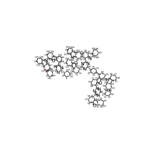 c1ccc(-c2nc(-c3cccc(-c4ccc(-c5nc(-c6ccc(-c7ccc(-n8c9ccccc9c9ccccc98)c8oc9c(-c%10nc(-c%11ccccc%11)nc(-c%11cccc%12oc%13ccccc%13c%11%12)n%10)cccc9c78)cc6)nc(-c6cccc7c6sc6ccccc67)n5)c5oc6c(-n7c8ccccc8c8ccccc87)cccc6c45)c3)nc(-c3cccc4c3oc3c(-n5c6ccccc6c6ccccc65)cccc34)n2)cc1